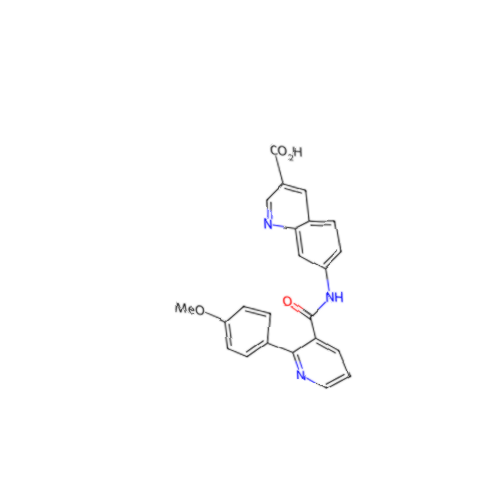 COc1ccc(-c2ncccc2C(=O)Nc2ccc3cc(C(=O)O)cnc3c2)cc1